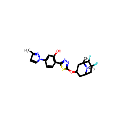 Cc1ccn(-c2ccc(-c3nnc(OC4CC5CC(F)C(F)C(C)(C4)N5C)s3)c(O)c2)n1